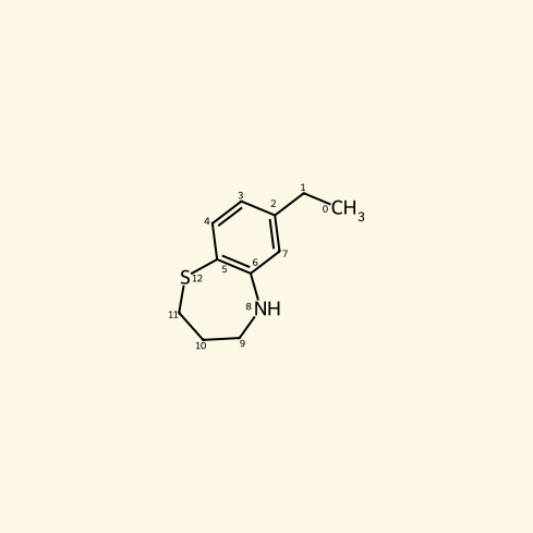 CCc1ccc2c(c1)NCCCS2